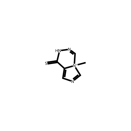 C[N+]12C=NC=C1C(=S)NN=C2